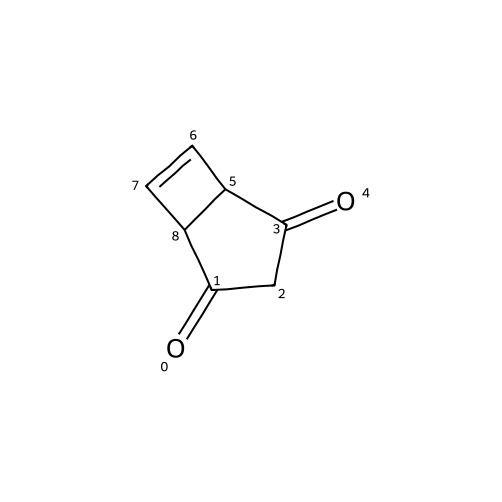 O=C1CC(=O)C2C=CC12